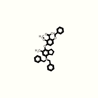 COc1c(Oc2c(C)cc(N(Cc3ccccc3)Cc3ccccc3)c3c2CCC3)ccc(OCc2ccccc2)c1C(C)=O